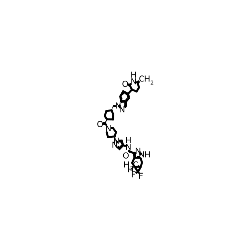 C=C1CCC(c2ccc3c(cnn3C[C@H]3CC[C@H](C(=O)N4CCC(n5cc(NC(=O)c6n[nH]c7c6C[C@@H]6C(F)(F)[C@]6(C)C7)cn5)CC4)CC3)c2)C(=O)N1